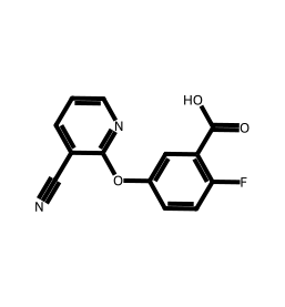 N#Cc1cccnc1Oc1ccc(F)c(C(=O)O)c1